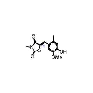 COc1cc(/C=C2\SC(=O)N(C)C2=O)c(C)cc1O